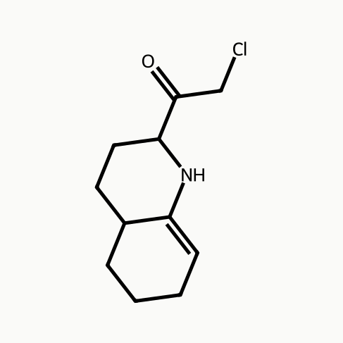 O=C(CCl)C1CCC2CCCC=C2N1